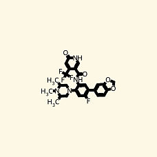 CC1CN(c2cc(F)c(-c3ccc4c(c3)OCO4)cc2NC(=O)c2c[nH]c(=O)cc2C(F)(F)F)CC(C)N1C